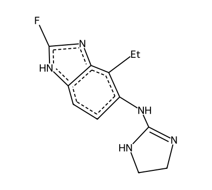 CCc1c(NC2=NCCN2)ccc2[nH]c(F)nc12